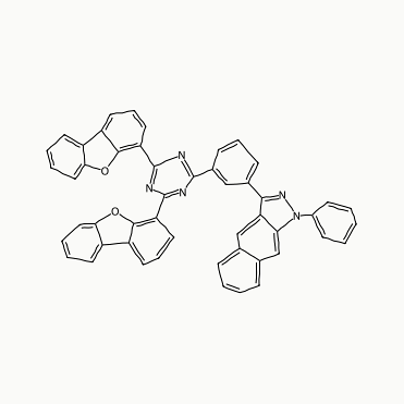 c1ccc(-n2nc(-c3cccc(-c4nc(-c5cccc6c5oc5ccccc56)nc(-c5cccc6c5oc5ccccc56)n4)c3)c3cc4ccccc4cc32)cc1